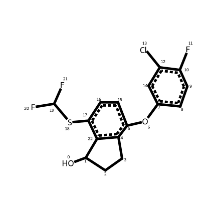 OC1CCc2c(Oc3ccc(F)c(Cl)c3)ccc(SC(F)F)c21